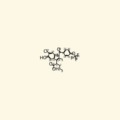 CCCC(C(=O)O)c1c(C)n(C(=O)c2ccc(OC(F)(F)F)cc2)c2cc(Cl)c(O)cc12